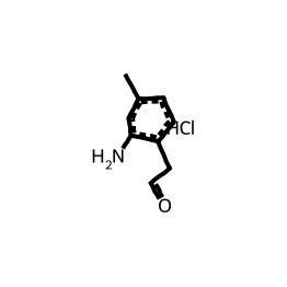 Cc1ccc(CC=O)c(N)c1.Cl